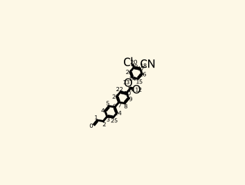 C=CCc1ccc(-c2ccc(C(=O)Oc3ccc(C#N)c(Cl)c3)cc2)cc1